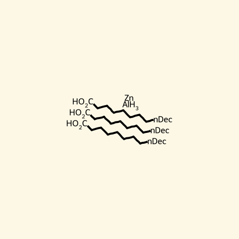 CCCCCCCCCCCCCCCCCC(=O)O.CCCCCCCCCCCCCCCCCC(=O)O.CCCCCCCCCCCCCCCCCC(=O)O.[AlH3].[Zn]